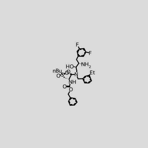 CCCCS(=O)(=O)C[C@@H](NC(=O)OCc1ccccc1)C(=O)N(Cc1cccc(CC)c1)C[C@@H](O)[C@@H](N)Cc1cc(F)cc(F)c1